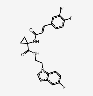 O=C(/C=C/c1ccc(F)c(Br)c1)NC1(C(=O)NCCn2ccc3cc(F)ccc32)CC1